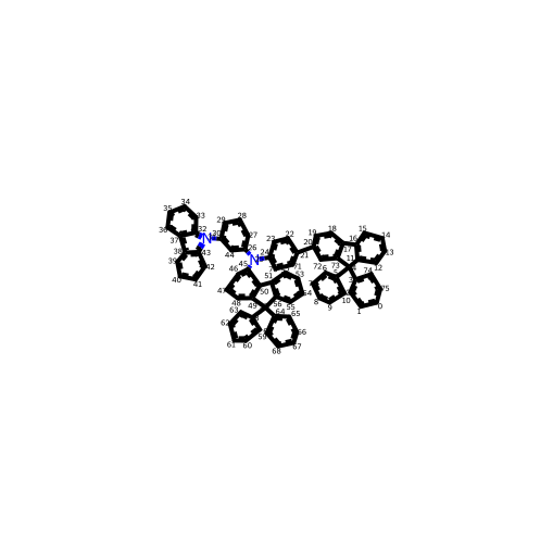 c1ccc(C2(c3ccccc3)c3ccccc3-c3ccc(-c4ccc(N(c5cccc(-n6c7ccccc7c7ccccc76)c5)c5cccc6c5-c5ccccc5C6(c5ccccc5)c5ccccc5)cc4)cc32)cc1